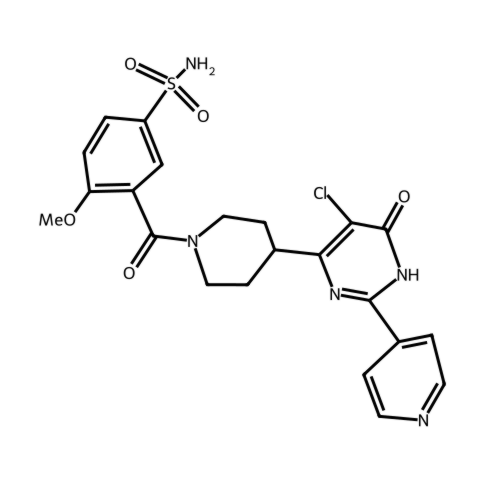 COc1ccc(S(N)(=O)=O)cc1C(=O)N1CCC(c2nc(-c3ccncc3)[nH]c(=O)c2Cl)CC1